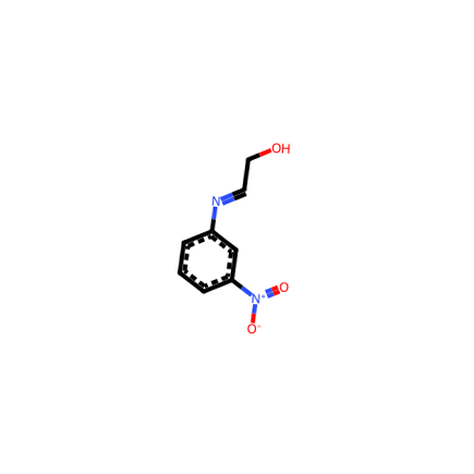 O=[N+]([O-])c1cccc(N=CCO)c1